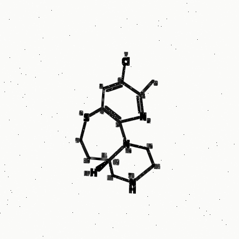 Cc1nc2c(cc1Cl)SCC[C@H]1CNCCN21